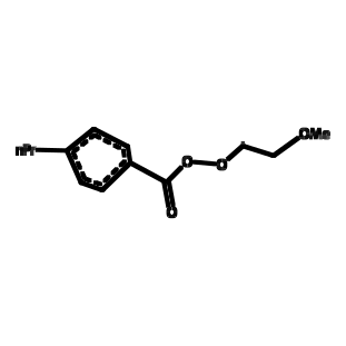 CCCc1ccc(C(=O)OO[CH]COC)cc1